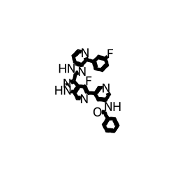 O=C(Nc1cncc(-c2ncc3[nH]nc(-c4nc5c(-c6cccc(F)c6)nccc5[nH]4)c3c2F)c1)c1ccccc1